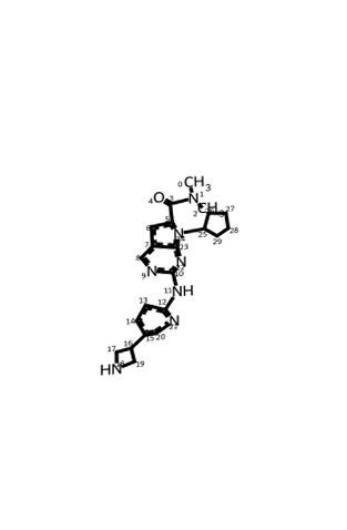 CN(C)C(=O)c1cc2cnc(Nc3ccc(C4CNC4)cn3)nc2n1C1CCCC1